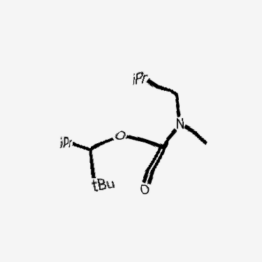 CC(C)CN(C)C(=O)OC(C(C)C)C(C)(C)C